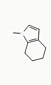 Cn1ccc2c1CCCC2